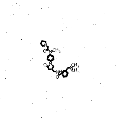 CN(C)Cc1cccc(C(=O)NCC2CC(=O)N(c3ccc(N(C)C(=O)CN4CCCC4)cc3)C2)c1